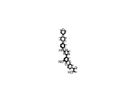 CC(O)C(=O)N1CC[C@H](Oc2ccc(-c3ncnc(Nc4ccc(N5CCN(C6CCOCC6)CC5)cc4)n3)cc2C#N)[C@H](F)C1